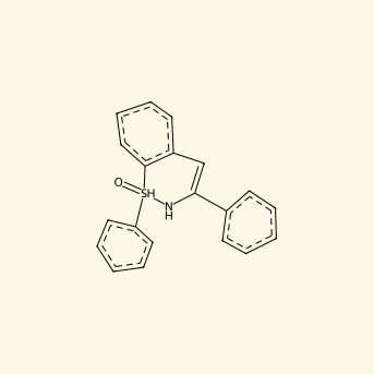 O=[SH]1(c2ccccc2)NC(c2ccccc2)=Cc2ccccc21